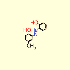 Cc1ccc(O)c(/N=N/c2ccccc2O)c1